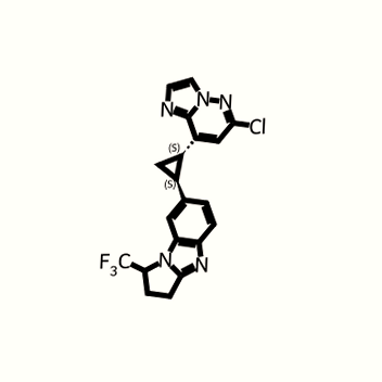 FC(F)(F)C1CCc2nc3ccc([C@H]4C[C@@H]4c4cc(Cl)nn5ccnc45)cc3n21